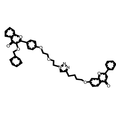 O=c1cc(-c2ccccc2)oc2cc(OCCCCc3cn(CCOCCOc4ccc(-c5oc6ccccc6c(=O)c5OCc5ccccc5)cc4)nn3)ccc12